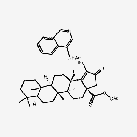 CC(=O)Nc1cncc2ccccc12.CC(=O)OOC(=O)[C@@]12CC[C@]3(C)[C@H](CC[C@@H]4[C@@]5(C)CCCC(C)(C)[C@@H]5CC[C@]43C)C1=C(C(C)C)C(=O)C2